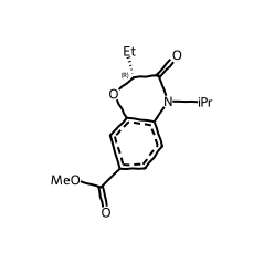 CC[C@H]1Oc2cc(C(=O)OC)ccc2N(C(C)C)C1=O